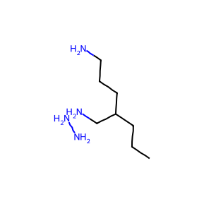 CCCC(CN)CCCN.NN